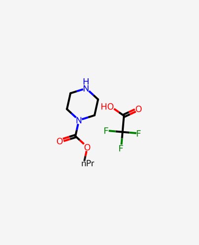 CCCOC(=O)N1CCNCC1.O=C(O)C(F)(F)F